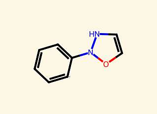 [c]1ccccc1N1NC=CO1